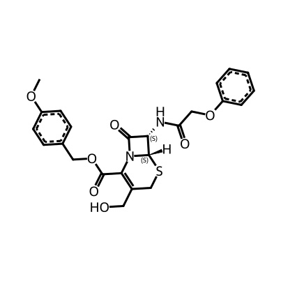 COc1ccc(COC(=O)C2=C(CO)CS[C@H]3[C@@H](NC(=O)COc4ccccc4)C(=O)N23)cc1